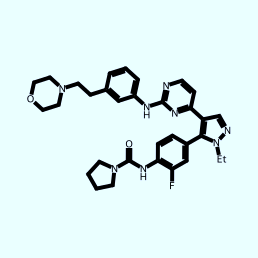 CCn1ncc(-c2ccnc(Nc3cccc(CCN4CCOCC4)c3)n2)c1-c1ccc(NC(=O)N2CCCC2)c(F)c1